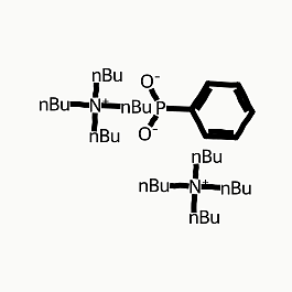 CCCC[N+](CCCC)(CCCC)CCCC.CCCC[N+](CCCC)(CCCC)CCCC.[O-]P([O-])c1ccccc1